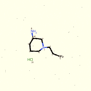 CC(C)CCN1CCC[C@@H](N)C1.Cl